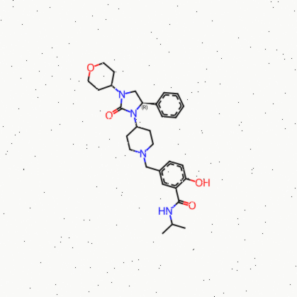 CC(C)NC(=O)c1cc(CN2CCC(N3C(=O)N(C4CCOCC4)C[C@H]3c3ccccc3)CC2)ccc1O